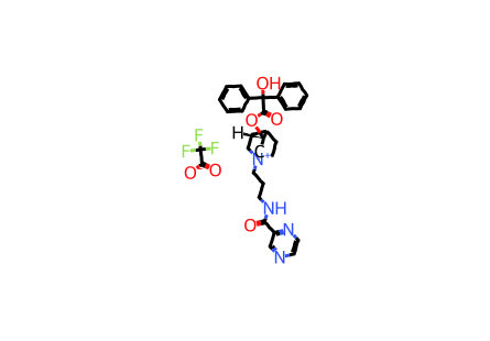 O=C(NCCC[N+]12CCC(CC1)[C@@H](OC(=O)C(O)(c1ccccc1)c1ccccc1)C2)c1cnccn1.O=C([O-])C(F)(F)F